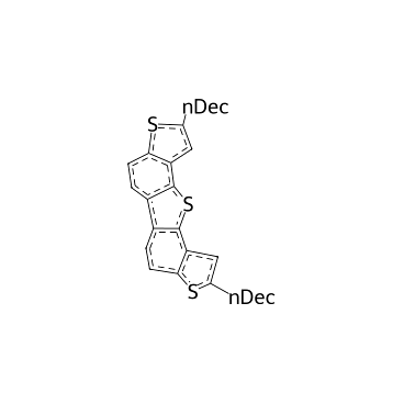 CCCCCCCCCCc1cc2c(ccc3c4ccc5sc(CCCCCCCCCC)cc5c4sc23)s1